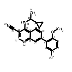 COc1ccc(Br)cc1-c1ccc2c(NC(C)C3CC3)c(C#N)nnc2c1